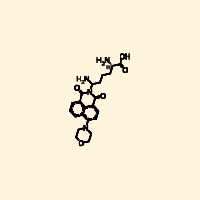 NC(CCC[C@H](N)C(=O)O)N1C(=O)c2cccc3c(N4CCOCC4)ccc(c23)C1=O